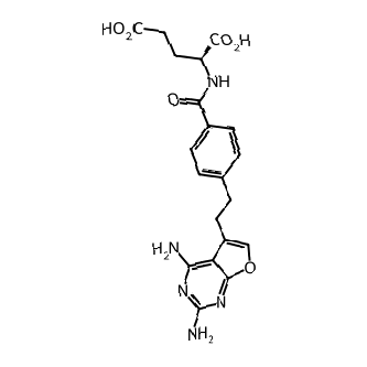 Nc1nc(N)c2c(CCc3ccc(C(=O)N[C@@H](CCC(=O)O)C(=O)O)cc3)coc2n1